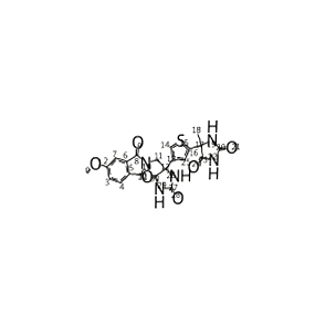 COc1ccc2c(c1)C(=O)N(C[C@@]1(c3csc(C4(C)NC(=O)NC4=O)c3)NC(=O)NC1=O)C2